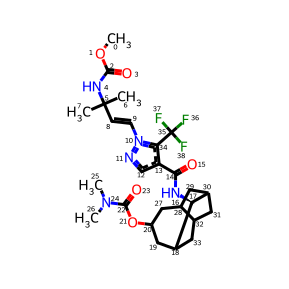 COC(=O)NC(C)(C)/C=C/n1ncc(C(=O)N[C@@H]2C3CC(OC(=O)N(C)C)CC4CC2CC4C3)c1C(F)(F)F